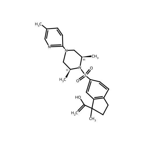 C=C(O)C1(C)CCc2ccc(S(=O)(=O)N3[C@H](C)CN(c4ccc(C)cn4)C[C@@H]3C)cc21